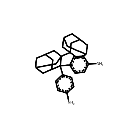 Nc1ccc(C2(c3ccc(N)cc3)C3CC4CC(C3)CC2(C23CC5CC(CC(C5)C2)C3)C4)cc1